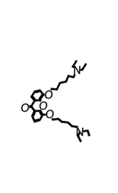 CCN(CC)CCCCCCOc1cccc2c(=O)c3cccc(OCCCCCCN(CC)CC)c3oc12